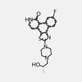 C[C@H](O)CN1CCN(c2nc3c4ccc(F)cc4c4c(=O)[nH]ccc4c3s2)CC1